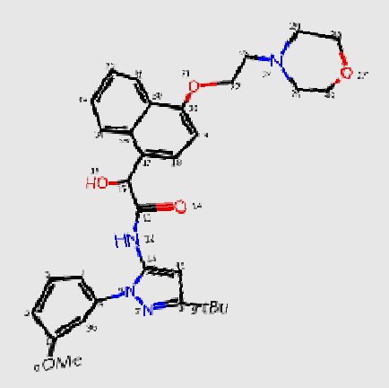 COc1cccc(-n2nc(C(C)(C)C)cc2NC(=O)C(O)c2ccc(OCCN3CCOCC3)c3ccccc23)c1